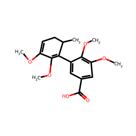 COC1=CCC(C)C(c2cc(C(=O)O)cc(OC)c2OC)=C1OC